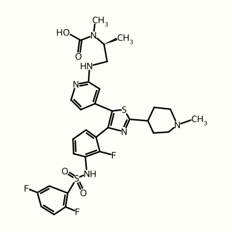 C[C@@H](CNc1cc(-c2sc(C3CCN(C)CC3)nc2-c2cccc(NS(=O)(=O)c3cc(F)ccc3F)c2F)ccn1)N(C)C(=O)O